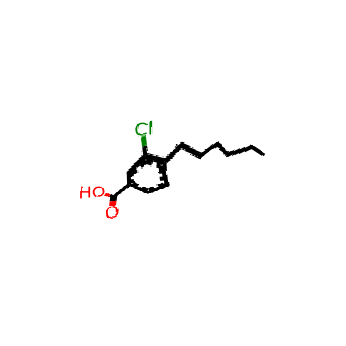 CCCCC[CH]c1ccc(C(=O)O)cc1Cl